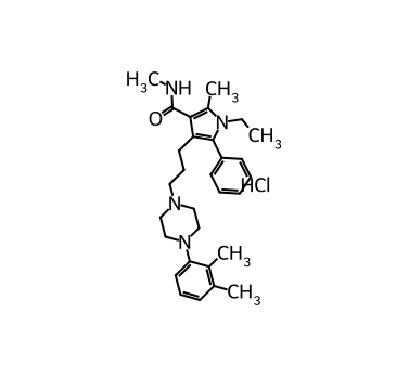 CCn1c(C)c(C(=O)NC)c(CCCN2CCN(c3cccc(C)c3C)CC2)c1-c1ccccc1.Cl